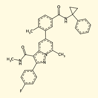 CNC(=O)c1c(-c2ccc(F)cc2)nn2c(C)cc(-c3cc(C(=O)NC4(c5ccccc5)CC4)ccc3C)cc12